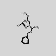 COCCN(/N=C(\C)Cl)C(C)OCc1ccccc1